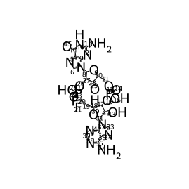 Nc1nc2c(ncn2C2OC3COP(=O)(O)OC4C(CC(F)(F)P(=O)(O)OC2C3O)OC(n2cnc3c(N)ncnc32)C4O)c(=O)[nH]1